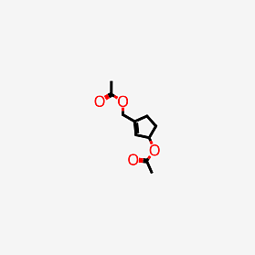 CC(=O)OCC1=CC(OC(C)=O)CC1